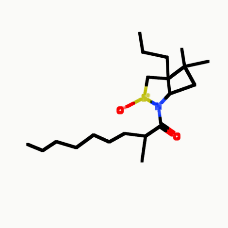 CCCCCCCC(C)C(=O)N1C2CC(C)(C)C2(CCC)C[S+]1[O-]